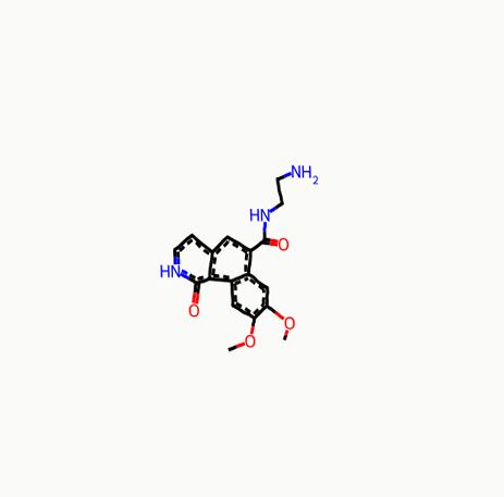 COc1cc2c(C(=O)NCCN)cc3cc[nH]c(=O)c3c2cc1OC